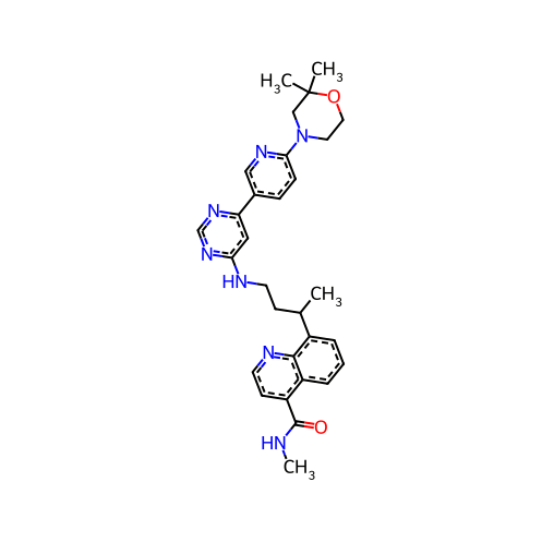 CNC(=O)c1ccnc2c(C(C)CCNc3cc(-c4ccc(N5CCOC(C)(C)C5)nc4)ncn3)cccc12